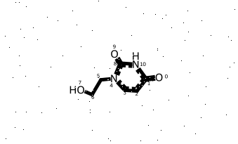 O=c1ccn(CCO)c(=O)[nH]1